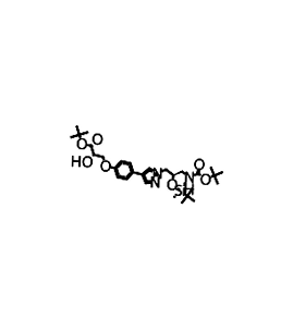 CC(C)(C)OC(=O)NC[C@H](Cn1cc(-c2ccc(OC[C@@H](O)C(=O)OC(C)(C)C)cc2)cn1)O[Si](C)(C)C(C)(C)C